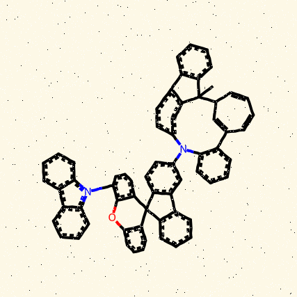 CC12c3ccccc3-c3ccc(cc31)N(c1ccc3c(c1)-c1ccccc1C31c3ccccc3Oc3c(-n4c5ccccc5c5ccccc54)cccc31)c1ccccc1C1=CC2C=CC=C1